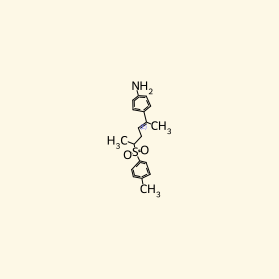 C/C(=C\CC(C)S(=O)(=O)c1ccc(C)cc1)c1ccc(N)cc1